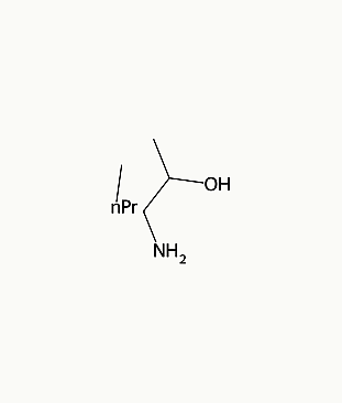 CC(O)CN.CCCC